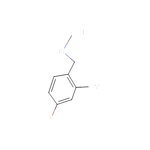 COc1cc(Br)ccc1CNC(=O)O